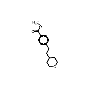 COC(=O)c1ccc(CCC2CCOCC2)cc1